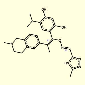 C/C(=C(\O/N=C/c1nnc(C)[nH]1)c1cc(C(C)C)c(O)cc1O)c1ccc2c(c1)CCN(C)C2